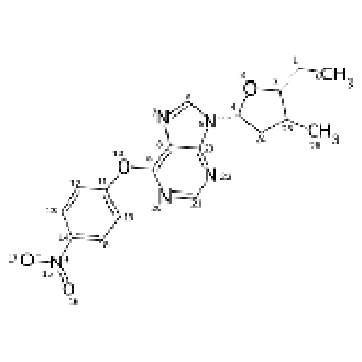 CC[C@H]1O[C@@H](n2cnc3c(Oc4ccc([N+](=O)[O-])cc4)ncnc32)CC1C